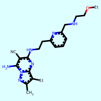 CCOCCNCc1cccc(CCNc2nc3c(CC)c(C)nn3c(N)c2C#N)n1